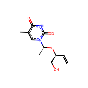 C=C[C@@H](CO)O[C@H](C)n1cc(C)c(=O)[nH]c1=O